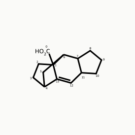 O=C(O)C12CCC3CC1C1CCCC1C=C32